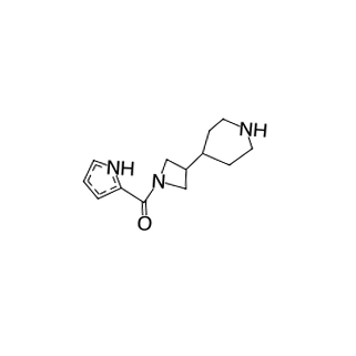 O=C(c1ccc[nH]1)N1CC(C2CCNCC2)C1